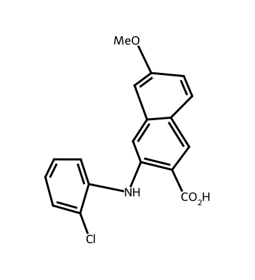 COc1ccc2cc(C(=O)O)c(Nc3ccccc3Cl)cc2c1